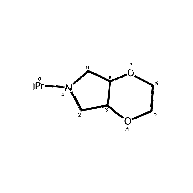 CC(C)N1CC2OCCOC2C1